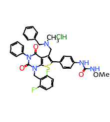 CONC(=O)Nc1ccc(-c2sc3c(c2CN(C)Cc2ccccc2)c(=O)n(-c2ccccc2)c(=O)n3Cc2c(F)cccc2F)cc1.Cl